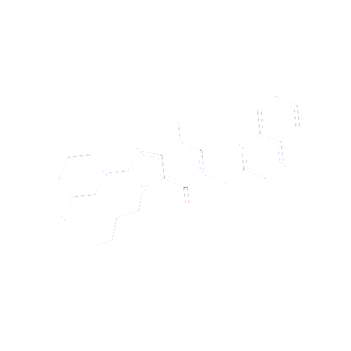 CCCCn1c(N2CCCC(N)C2)nc2c1c(=O)n(Cc1cnc3ccccc3n1)c(=O)n2C